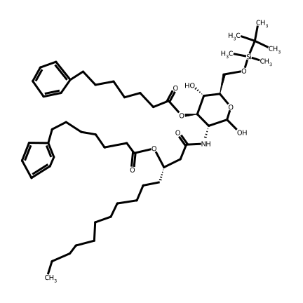 CCCCCCCCCCC[C@@H](CC(=O)N[C@H]1C(O)O[C@H](CO[Si](C)(C)C(C)(C)C)[C@@H](O)[C@@H]1OC(=O)CCCCCCc1ccccc1)OC(=O)CCCCCCc1ccccc1